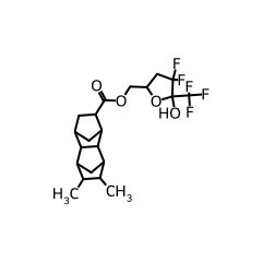 CC1C(C)C2CC1C1C3CC(C(=O)OCC4CC(F)(F)C(O)(C(F)(F)F)O4)C(C3)C21